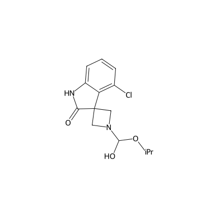 CC(C)OC(O)N1CC2(C1)C(=O)Nc1cccc(Cl)c12